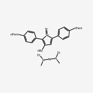 CCCCCc1ccc(C2=CC(CCCC)=C(c3ccc(CCCCC)cc3)[N+]2=[N-])cc1.CC[N](C)[Ni][N](C)CC